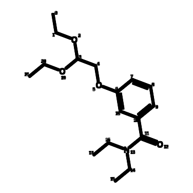 CCOC(COc1cccc(C(=O)N(CC)CC)c1)OCC